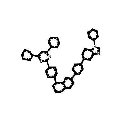 c1ccc(-c2cc(-c3ccccc3)nc(-c3ccc(-c4cccc5ccc(-c6ccc(-c7ccc8c(c7)ncn8-c7ccccc7)cc6)cc45)cc3)n2)cc1